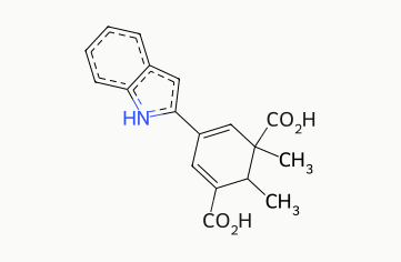 CC1C(C(=O)O)=CC(c2cc3ccccc3[nH]2)=CC1(C)C(=O)O